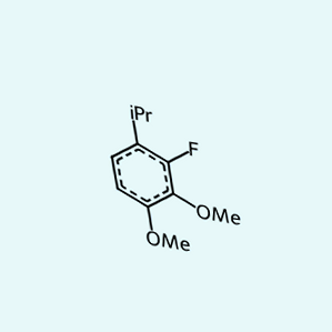 COc1ccc(C(C)C)c(F)c1OC